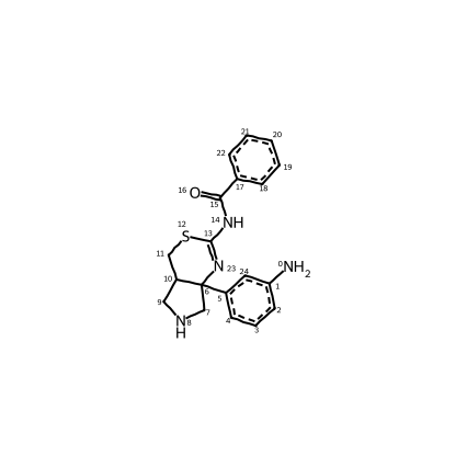 Nc1cccc(C23CNCC2CSC(NC(=O)c2ccccc2)=N3)c1